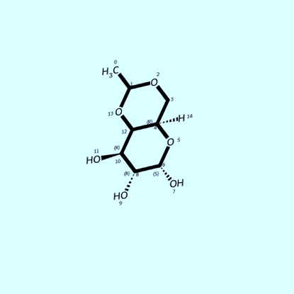 CC1OC[C@H]2O[C@H](O)[C@H](O)[C@@H](O)C2O1